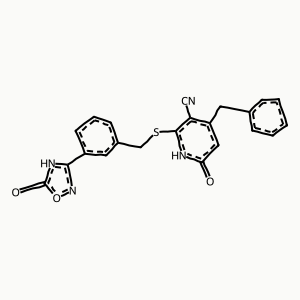 N#Cc1c(Cc2ccccc2)cc(=O)[nH]c1SCc1cccc(-c2noc(=O)[nH]2)c1